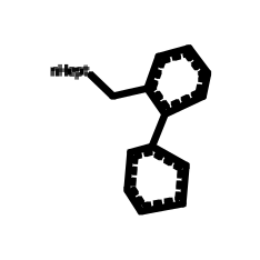 CCCCCCCCc1ccccc1-c1ccccc1